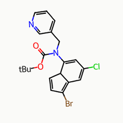 CC(C)(C)OC(=O)N(Cc1cccnc1)C1=CC(Cl)=CC2=C(Br)C=CC12